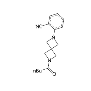 CCCCC(=O)N1CC2(C1)CN(c1ccccc1C#N)C2